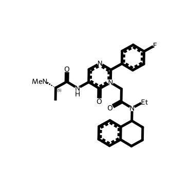 CCN(C(=O)Cn1c(-c2ccc(F)cc2)ncc(NC(=O)[C@H](C)NC)c1=O)C1CCCc2ccccc21